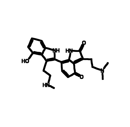 CNCCc1c(C2=C3NC(=O)C(CCN(C)C)=C3C(=O)C=C2)[nH]c2cccc(O)c12